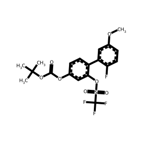 COc1ccc(F)c(-c2ccc(OC(=O)OC(C)(C)C)cc2OS(=O)(=O)C(F)(F)F)c1